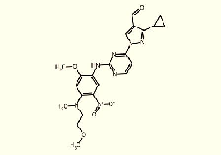 COCCN(C)c1cc(OC)c(Nc2nccc(-n3cc(C=O)c(C4CC4)n3)n2)cc1[N+](=O)[O-]